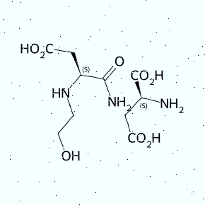 NC(=O)[C@H](CC(=O)O)NCCO.N[C@@H](CC(=O)O)C(=O)O